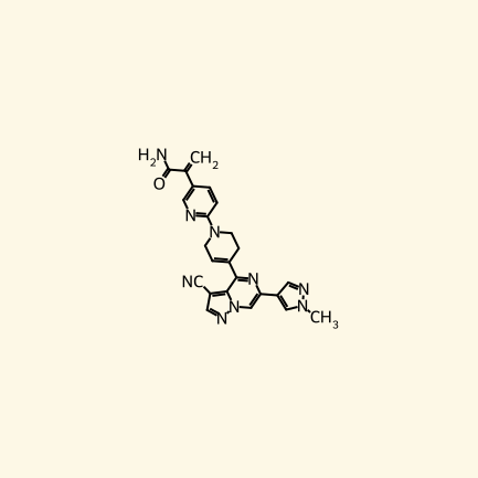 C=C(C(N)=O)c1ccc(N2CC=C(c3nc(-c4cnn(C)c4)cn4ncc(C#N)c34)CC2)nc1